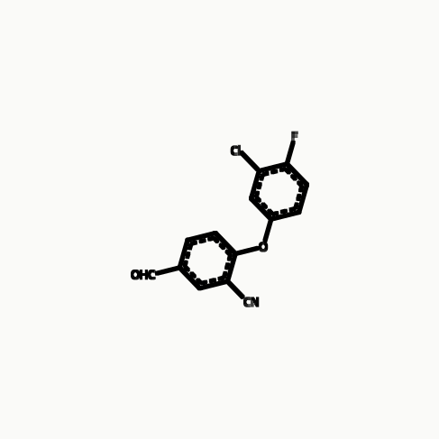 N#Cc1cc(C=O)ccc1Oc1ccc(F)c(Cl)c1